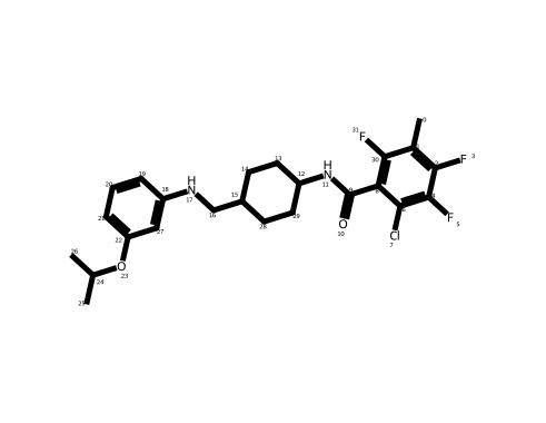 Cc1c(F)c(F)c(Cl)c(C(=O)NC2CCC(CNc3cccc(OC(C)C)c3)CC2)c1F